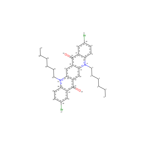 CCCCCCn1c2ccc(Br)cc2c(=O)c2cc3c(cc21)c(=O)c1cc(Br)ccc1n3CCCCCC